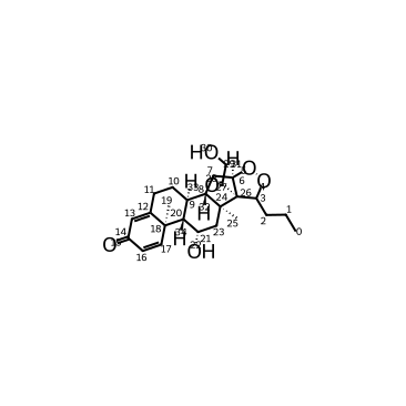 CCCC1OO[C@@H]2C[C@H]3[C@@H]4CCC5=CC(=O)C=C[C@]5(C)[C@H]4[C@@H](O)C[C@]3(C)[C@]12C(=O)CO